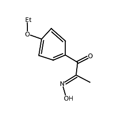 CCOc1ccc(C(=O)C(C)=NO)cc1